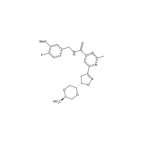 COc1cc(CNC(=O)c2cc(C3=NOC([C@H]4CO[C@H](C(=O)O)CO4)C3)nc(C)n2)ccc1F